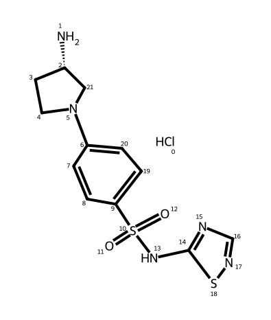 Cl.N[C@H]1CCN(c2ccc(S(=O)(=O)Nc3ncns3)cc2)C1